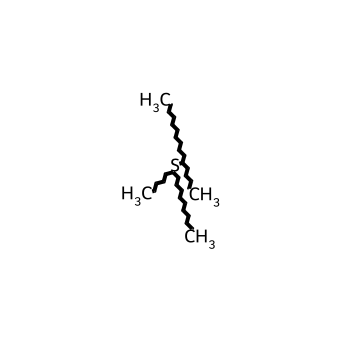 CCCCCCCCCCC(CCCCC)SC(CCCCC)CCCCCCCCCC